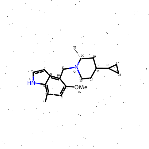 COc1cc(C)c2[nH]ccc2c1CN1CCC(C2CC2)C[C@H]1C